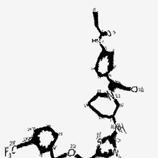 C=CC(=O)Nc1ccc(C(=O)N2CCCC(Nc3ncc(COCc4cccc(C(F)(F)F)c4)s3)C2)cc1